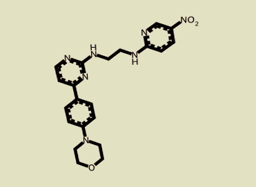 O=[N+]([O-])c1ccc(NCCNc2nccc(-c3ccc(N4CCOCC4)cc3)n2)nc1